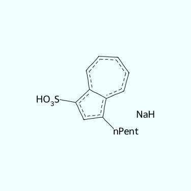 CCCCCc1cc(S(=O)(=O)O)c2cccccc1-2.[NaH]